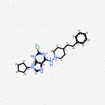 Clc1nc(NN2CCC(CCc3ccccc3)CC2)c2ncn(C3CCCC3)c2n1